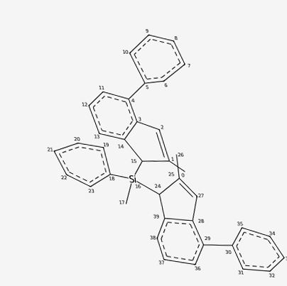 CC1=Cc2c(-c3ccccc3)cccc2C1[Si](C)(c1ccccc1)C1C(C)=Cc2c(-c3ccccc3)cccc21